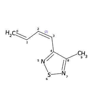 C=C/C=C\c1nsnc1C